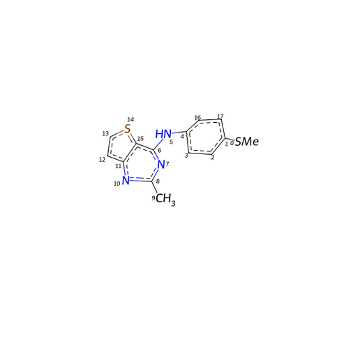 CSc1ccc(Nc2nc(C)nc3ccsc23)cc1